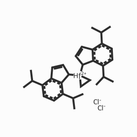 CC(C)c1ccc(C(C)C)c2c1C=C[CH]2[Hf+2]1([CH]2C=Cc3c(C(C)C)ccc(C(C)C)c32)[CH2][CH2]1.[Cl-].[Cl-]